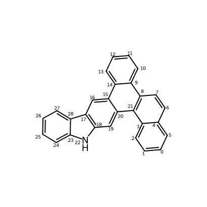 c1ccc2c(c1)ccc1c3ccccc3c3cc4c(cc3c21)[nH]c1ccccc14